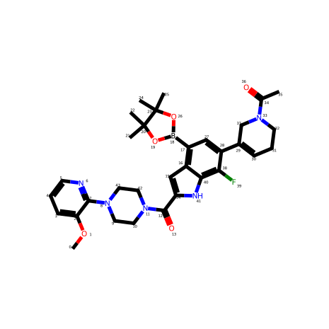 COc1cccnc1N1CCN(C(=O)c2cc3c(B4OC(C)(C)C(C)(C)O4)cc(C4=CCCN(C(C)=O)C4)c(F)c3[nH]2)CC1